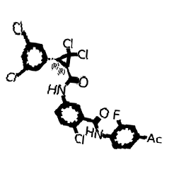 CC(=O)c1ccc(NC(=O)c2cc(NC(=O)[C@H]3[C@H](c4cc(Cl)cc(Cl)c4)C3(Cl)Cl)ccc2Cl)c(F)c1